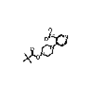 CC(C)(C)C(=O)ON1CCN(c2ccncc2[N+](=O)[O-])CC1